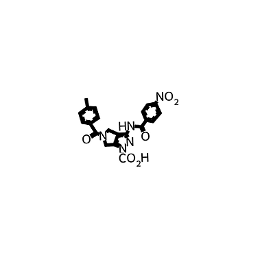 Cc1ccc(C(=O)N2Cc3c(NC(=O)c4ccc([N+](=O)[O-])cc4)nn(C(=O)O)c3C2)cc1